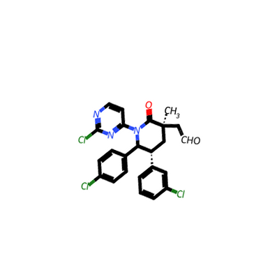 C[C@]1(CC=O)C[C@H](c2cccc(Cl)c2)C(c2ccc(Cl)cc2)N(c2ccnc(Cl)n2)C1=O